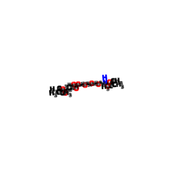 CC(C)(C)OC(=O)NCCOCCOCCOCCOC(=O)Oc1ccc(C(=O)OC(C)(C)C)cc1